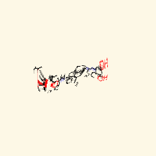 C=C1/C(=C\C=C2/CCC[C@]3(C)C([C@@H](C)C/C=C/C(O)(CC)CC)=CCC23)C[C@@H](O)C[C@@H]1O